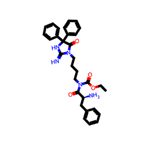 CCOC(=O)N(CCCCN1C(=N)NC(c2ccccc2)(c2ccccc2)C1=O)C(=O)[C@@H](N)Cc1ccccc1